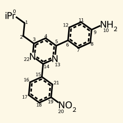 CC(C)CCc1cc(-c2ccc(N)cc2)nc(-c2cccc([N+](=O)[O-])c2)n1